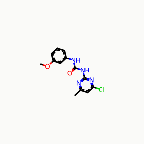 COc1cccc(NC(=O)Nc2nc(C)cc(Cl)n2)c1